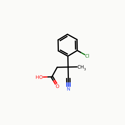 CC(C#N)(CC(=O)O)c1ccccc1Cl